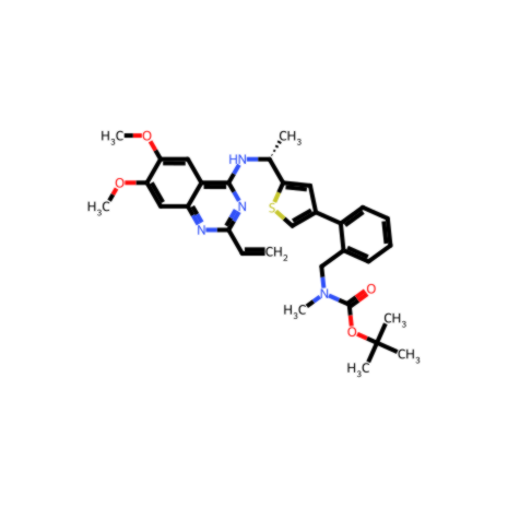 C=Cc1nc(N[C@H](C)c2cc(-c3ccccc3CN(C)C(=O)OC(C)(C)C)cs2)c2cc(OC)c(OC)cc2n1